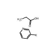 CCC(=O)O.[K][c]1cccnc1